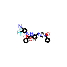 N#Cc1ccc(NC(=O)C(O)(Cc2cccc(CN3CCN(C(=O)c4ccccc4)CC3)c2)C2CCCCC2)cc1C(F)(F)F